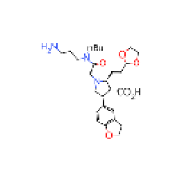 CCCCN(CCCN)C(=O)CN1C[C@H](c2ccc3c(c2)CCO3)[C@@H](C(=O)O)[C@@H]1CCC1OCCO1